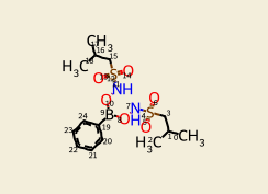 CC(C)CS(=O)(=O)NOB(ONS(=O)(=O)CC(C)C)c1ccccc1